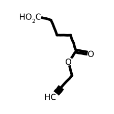 C#CCOC(=O)CCCC(=O)O